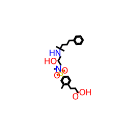 Cc1cc(S(=O)(=O)N(C)C[C@H](O)CNC(C)(C)CCCc2ccccc2)ccc1CCC(=O)O